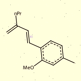 C=C(/C=C/c1ccc(C)cc1OC)CCC